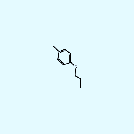 CCCSc1ccc(C)cc1